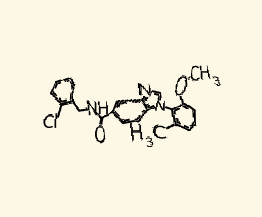 COc1cccc(C)c1-n1cnc2cc(C(=O)NCc3ccccc3Cl)ccc21